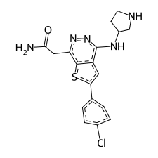 NC(=O)Cc1nnc(NC2CCNC2)c2cc(-c3ccc(Cl)cc3)sc12